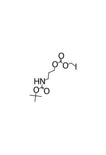 CC(C)(C)OC(=O)NCCCOC(=O)OCI